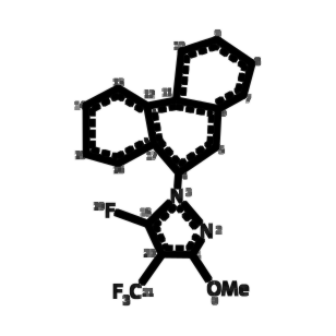 COc1nn(-c2cc3ccccc3c3ccccc23)c(F)c1C(F)(F)F